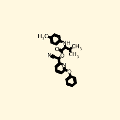 Cc1ccc(NC(C(=O)OC(C#N)c2cccc(Oc3ccccc3)n2)C(C)C)cc1